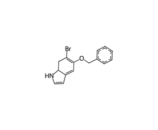 BrC1=C(OCc2ccccc2)C=C2C=CNC2C1